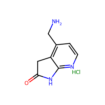 Cl.NCc1ccnc2c1CC(=O)N2